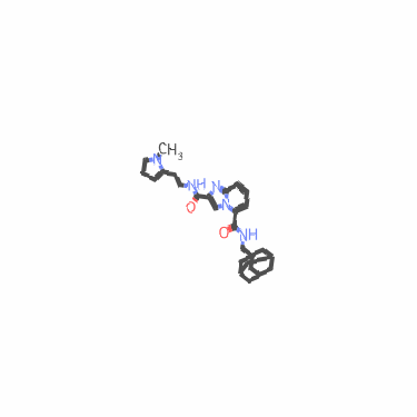 CN1CCCC1CCNC(=O)c1cn2c(C(=O)NCC34CC5CC(CC(C5)C3)C4)cccc2n1